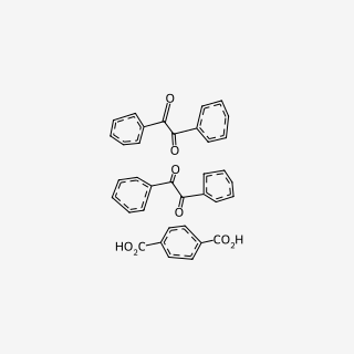 O=C(C(=O)c1ccccc1)c1ccccc1.O=C(C(=O)c1ccccc1)c1ccccc1.O=C(O)c1ccc(C(=O)O)cc1